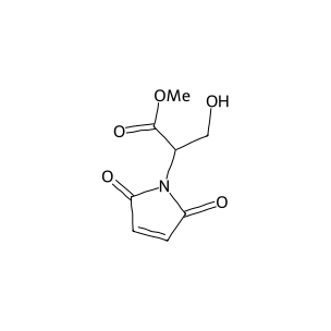 COC(=O)C(CO)N1C(=O)C=CC1=O